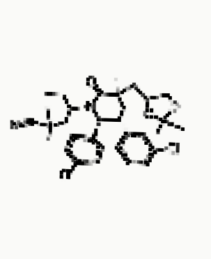 CCC(CC(C)(C)C#N)N1C(=O)[C@@](C)(CC2COC(C)(C)O2)C[C@H](c2cccc(Cl)c2)[C@H]1c1ccc(Cl)cc1